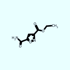 CCOC(=O)c1cc(C(N)=O)on1